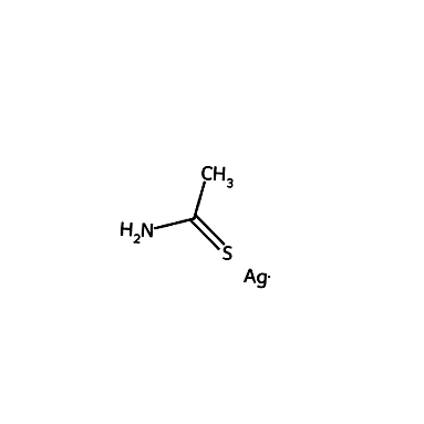 CC(N)=S.[Ag]